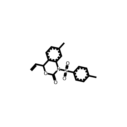 C=CC1OC(=O)N(S(=O)(=O)c2ccc(C)cc2)c2cc(C)ccc21